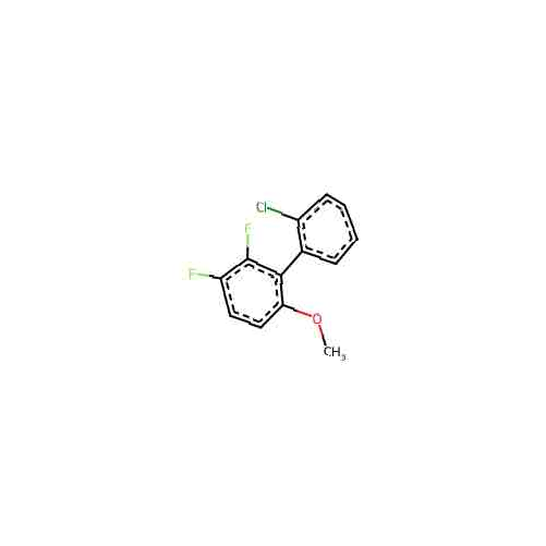 COc1ccc(F)c(F)c1-c1ccccc1Cl